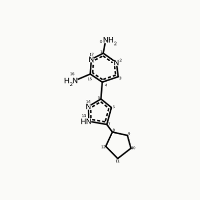 Nc1ncc(-c2cc(C3CCCC3)[nH]n2)c(N)n1